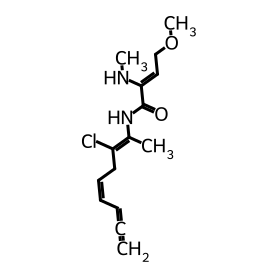 C=C=C/C=C\C/C(Cl)=C(\C)NC(=O)/C(=C/COC)NC